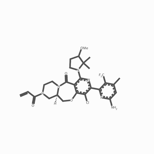 C=CC(=O)N1CCN2C(=O)c3c(N4CCC(OC)C4(C)C)nc(-c4nc(N)cc(C)c4C(F)(F)F)c(Cl)c3OC[C@H]2C1